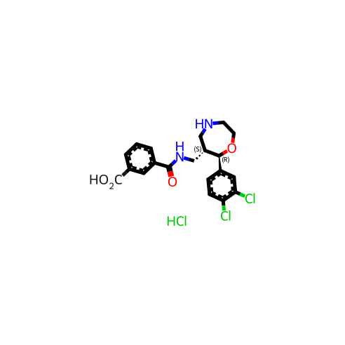 Cl.O=C(O)c1cccc(C(=O)NC[C@@H]2CNCCO[C@H]2c2ccc(Cl)c(Cl)c2)c1